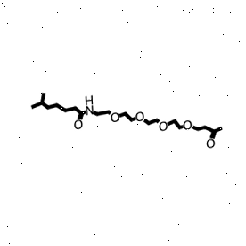 CC(=O)CCOCCOCCOCCOCCNC(=O)CCCCC(C)C